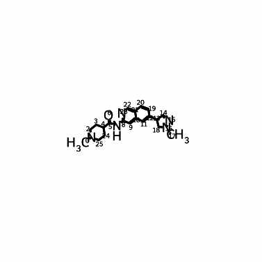 CN1CCC(C(=O)Nc2cc3cc(C4C=NN(C)C4)ccc3cn2)CC1